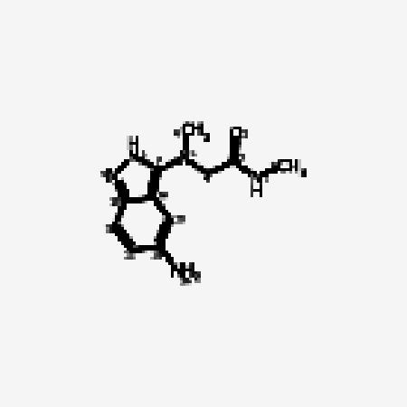 CNC(=O)CN(C)c1[nH]nc2ccc(N)cc12